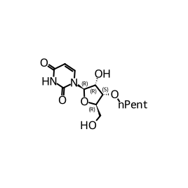 CCCCCO[C@H]1[C@@H](O)[C@H](n2ccc(=O)[nH]c2=O)O[C@@H]1CO